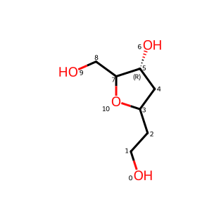 OCCC1C[C@@H](O)C(CO)O1